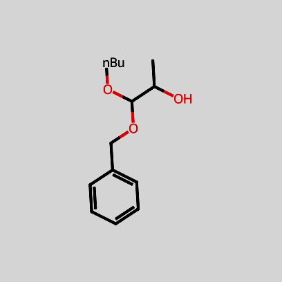 CCCCOC(OCc1ccccc1)C(C)O